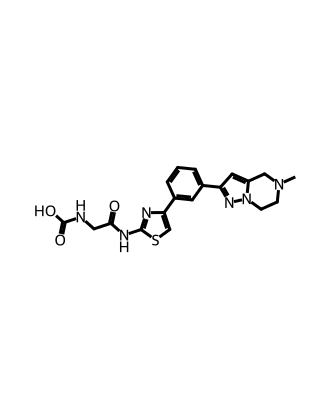 CN1CCn2nc(-c3cccc(-c4csc(NC(=O)CNC(=O)O)n4)c3)cc2C1